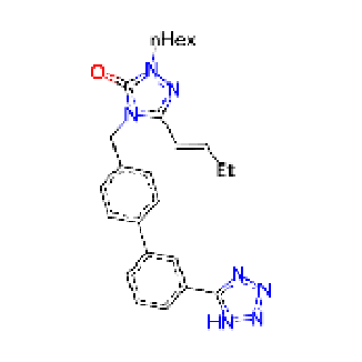 CCC=Cc1nn(CCCCCC)c(=O)n1Cc1ccc(-c2cccc(-c3nnn[nH]3)c2)cc1